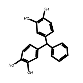 Oc1ccc(C(c2ccccc2)c2ccc(O)c(O)c2)cc1O